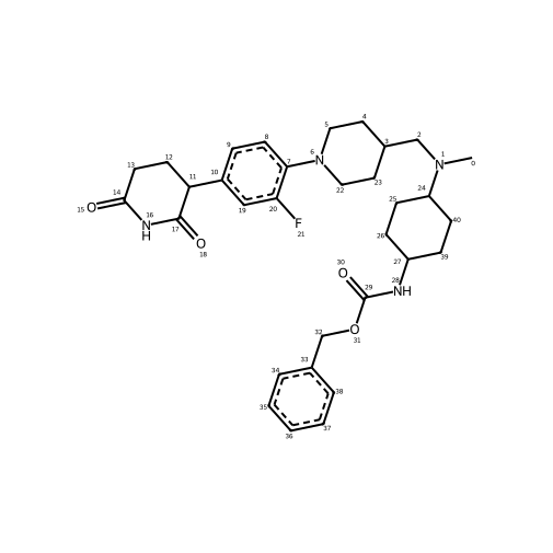 CN(CC1CCN(c2ccc(C3CCC(=O)NC3=O)cc2F)CC1)C1CCC(NC(=O)OCc2ccccc2)CC1